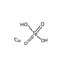 O=[Te](=O)(O)O.[Cu]